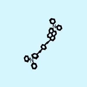 C(#Cc1ccc(N(c2ccccc2)c2ccccc2)cc1)c1ccc(C#Cc2ccc3ccc4c(N(c5ccccc5)c5ccccc5)ccc5ccc2c3c54)cc1